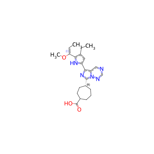 C/C=C(/OC)c1[nH]c(-c2nc([C@@H]3CCCC(C(=O)O)CC3)n3ncncc23)cc1CC